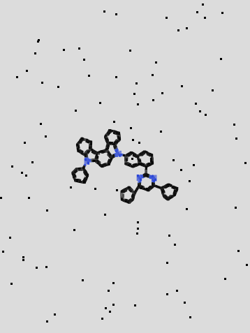 c1ccc(-c2cc(-c3ccccc3)nc(-c3cccc4cc(-n5c6ccccc6c6c7c8ccccc8n(-c8ccccc8)c7ccc65)ccc34)n2)cc1